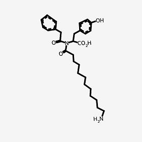 NCCCCCCCCCCCC(=O)N(C(=O)Cc1ccccc1)C(Cc1ccc(O)cc1)C(=O)O